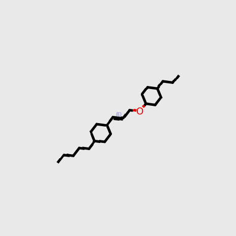 CCCCCC1CCC(/C=C/COC2CCC(CCC)CC2)CC1